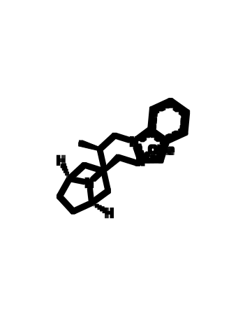 COCC[C@H]1C[C@H]2CC[C@@H](C1)N2C[C@@H](C)Cn1ncc2ccccc21